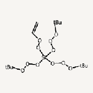 C=COO[Si](OOOC(C)(C)C)(OOOC(C)(C)C)OOOC(C)(C)C